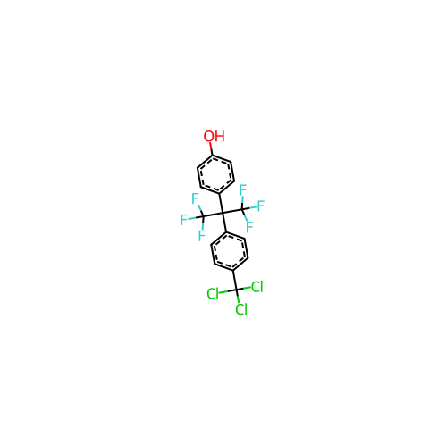 Oc1ccc(C(c2ccc(C(Cl)(Cl)Cl)cc2)(C(F)(F)F)C(F)(F)F)cc1